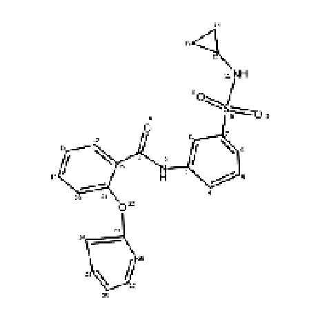 O=C(Nc1cccc(S(=O)(=O)NC2CC2)c1)c1ccccc1Oc1ccccc1